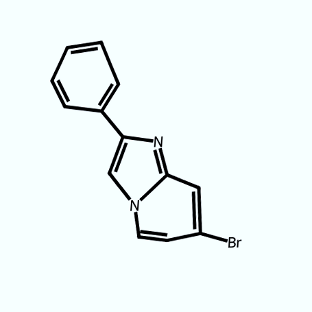 Brc1ccn2cc(-c3ccccc3)nc2c1